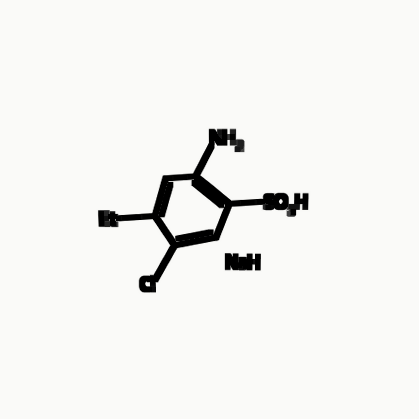 CCc1cc(N)c(S(=O)(=O)O)cc1Cl.[NaH]